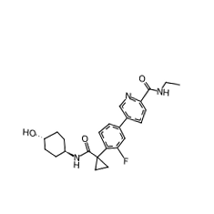 CCNC(=O)c1ccc(-c2ccc(C3(C(=O)N[C@H]4CC[C@H](O)CC4)CC3)c(F)c2)cn1